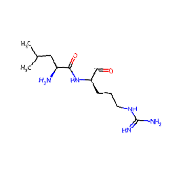 CC(C)C[C@H](N)C(=O)N[C@@H]([C]=O)CCCNC(=N)N